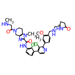 CNCC(=O)N1CCc2c(nc(C(=O)Nc3cccc(-c4ccnc(-c5ccc(CNC[C@H]6CCC(=O)N6)c(OC)c5)c4Cl)c3Cl)n2C)C1